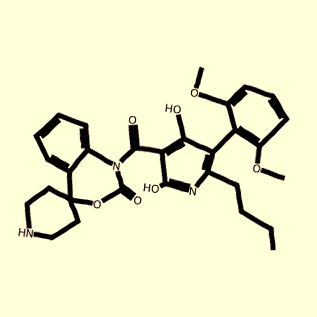 CCCCc1nc(O)c(C(=O)N2C(=O)OC3(CCNCC3)c3ccccc32)c(O)c1-c1c(OC)cccc1OC